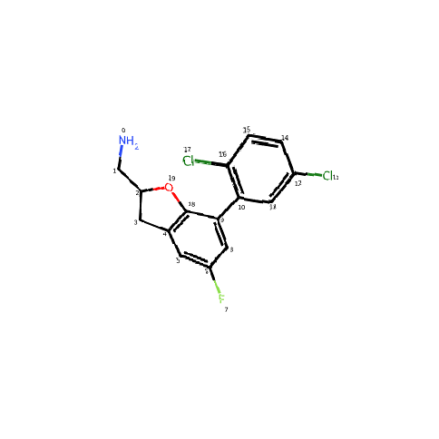 NCC1Cc2cc(F)cc(-c3cc(Cl)ccc3Cl)c2O1